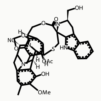 COc1c(C)cc2c(c1O)[C@@H]1[C@@H]3[C@@H]4SC[C@]5(N[C@@H](CO)Cc6c5[nH]c5ccccc65)C(=O)OC[C@@H](c5c6c(c(C)c(OC(C)=O)c54)OCO6)N3[C@@H](C#N)C(C2)N1C